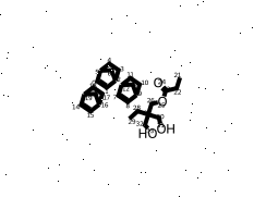 C1=CC2CCC1C2.C1=CC2CCC1C2.C1=CC2CCC1C2.CCC(=O)OCC(CC)(CO)CO